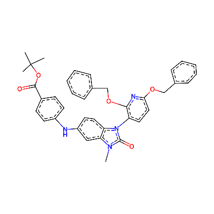 Cn1c(=O)n(-c2ccc(OCc3ccccc3)nc2OCc2ccccc2)c2ccc(Nc3ccc(C(=O)OC(C)(C)C)cc3)cc21